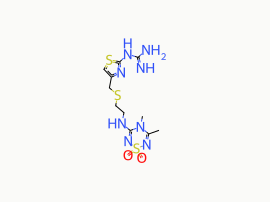 CC1=NS(=O)(=O)N=C(NCCSCc2csc(NC(=N)N)n2)N1C